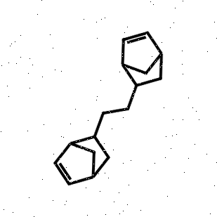 C1=CC2CC1CC2CCC1CC2C=CC1C2